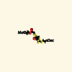 CCCCCCCCCCCCSC(=S)SC(C)(C)C(=O)SSCC(=O)OCCOC